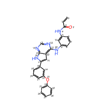 C=CC(=O)Nc1cccc(Nc2ncnc3[nH]c(-c4cccc(Oc5ccccc5)c4)cc23)c1